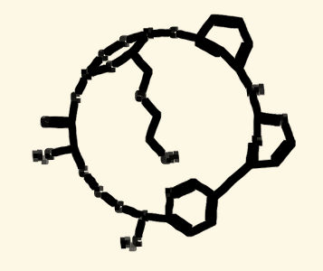 CC1CCCN(C)c2ccc(cn2)-c2ccnc(n2)Nc2cccc(c2)CN2CCN(CC1=O)CC2COCCO